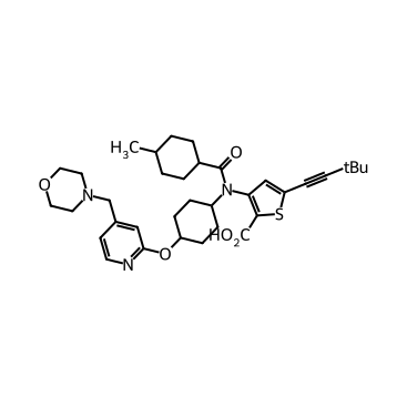 CC1CCC(C(=O)N(c2cc(C#CC(C)(C)C)sc2C(=O)O)C2CCC(Oc3cc(CN4CCOCC4)ccn3)CC2)CC1